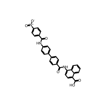 O=C(Nc1ccc(-c2ccc(C(=O)Nc3ccc(C(=O)O)c4ccccc34)cc2)cc1)c1ccc([N+](=O)[O-])cc1